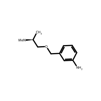 CN[C@@H](C)COCc1cccc(N)c1